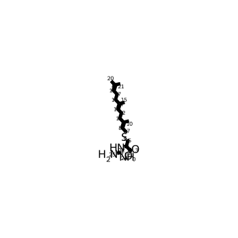 COC(=O)C(CSC/C=C(\C)CC/C=C(\C)CCC=C(C)C)NC(=N)N